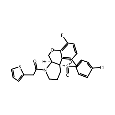 O=C(Cc1cccs1)N1CCC[C@]2(S(=O)(=O)c3ccc(Cl)cc3)c3c(F)ccc(F)c3OC[C@H]12